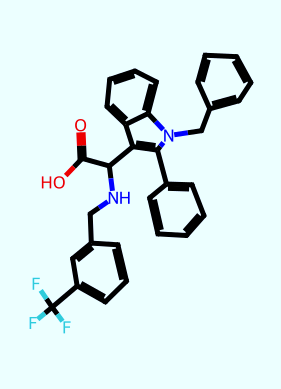 O=C(O)C(NCc1cccc(C(F)(F)F)c1)c1c(-c2ccccc2)n(Cc2ccccc2)c2ccccc12